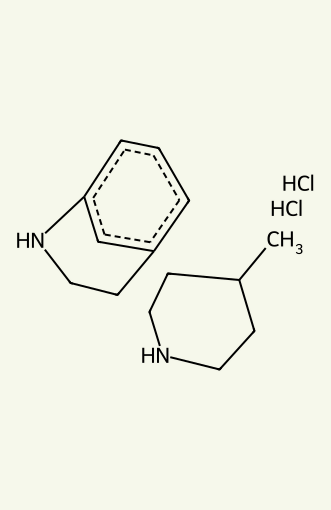 CC1CCNCC1.Cl.Cl.c1cc2cc(c1)NCC2